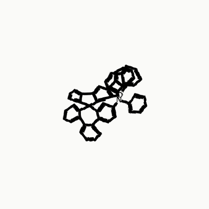 c1ccc(N(c2ccc3c(c2)C2(c4ccccc4-c4ccccc4-3)c3ccccc3-c3cc4c(cc32)oc2ccccc24)c2cccc3ccccc23)cc1